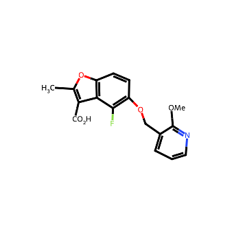 COc1ncccc1COc1ccc2oc(C)c(C(=O)O)c2c1F